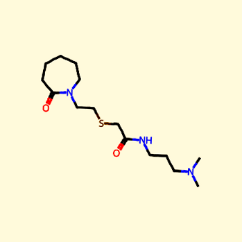 CN(C)CCCNC(=O)CSCCN1CCCCCC1=O